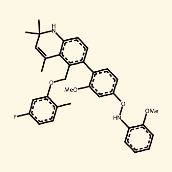 COc1ccccc1NOc1ccc(-c2ccc3c(c2COc2cc(F)ccc2C)C(C)=CC(C)(C)N3)c(OC)c1